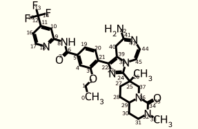 CCOc1cc(C(=O)Nc2cc(C(F)(F)F)ccn2)ccc1-c1nc(C2(C)CCC3CCN(C)C(=O)N3C2)n2c1CC(N)=NC=C2